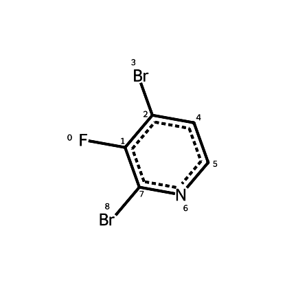 Fc1c(Br)ccnc1Br